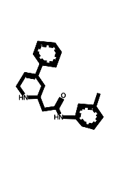 Cc1cccc(NC(=O)CC2CC(c3ccccc3)=CCN2)c1